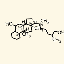 CC(CO)CCC[C@@H](C)[C@H]1CC[C@H]2[C@@H]3CC(O)=C4CCCC[C@]4(C)[C@H]3CC[C@]12C